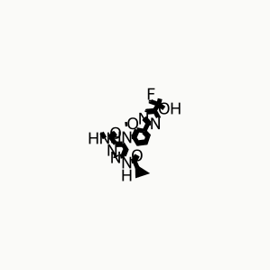 CNC(=O)c1nnc(NC(=O)C2CC2)cc1Nc1cccc(-c2ncc(C(C)(O)CF)cn2)c1OC